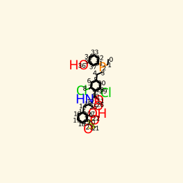 CCP(CCc1cc(Cl)c(C(=O)NC(Cc2cccc(S(C)(=O)=O)c2)C(=O)O)c(Cl)c1)c1cccc(O)c1